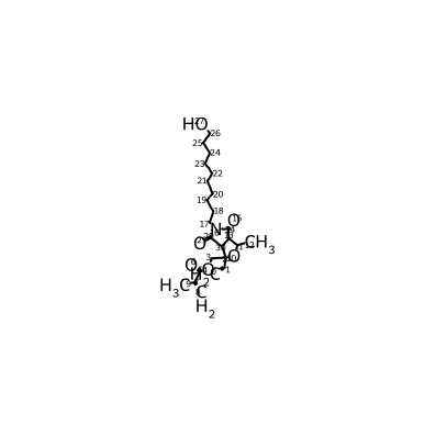 C=CC1(COC(=O)C(=C)C)OC(C)C2C(=O)N(CCCCCCCCCCO)C(=O)C21